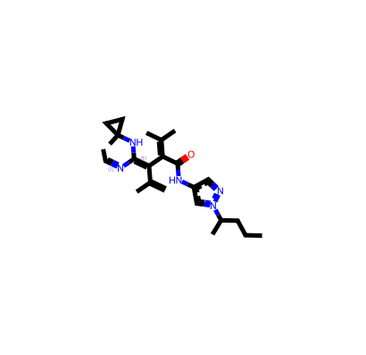 C=C(C)/C(C(C(=O)Nc1cnn(C(C)CCC)c1)=C(C)C)=C(\N=C/C)NC1(C)CC1